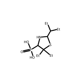 CCC(CC)C1NC(P(=O)(O)O)C(CC)(CC)S1